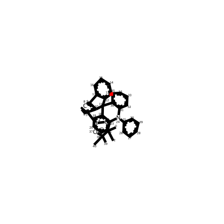 CC1(C)OB(c2cccc3c2C2(c4ccccc4-3)c3ccccc3N(c3ccccc3)c3ccccc32)OC1(C)C